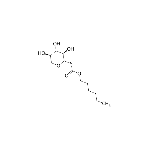 CCCCCCOC(=O)SC1OC[C@@H](O)[C@H](O)[C@H]1O